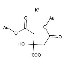 O=C(CC(O)(CC(=O)[O][Au])C(=O)[O-])[O][Au].[K+]